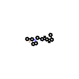 CC1(C)c2cc(-c3cccc(N(c4ccc5c(c4)sc4ccccc45)c4cccc5ccccc45)c3)ccc2-c2cc3c(cc21)-c1c(-c2ccccc2)cccc1C3(C)C